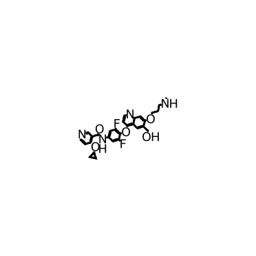 CNCCCOc1cc2nccc(Oc3c(F)cc(NC(=O)c4cnccc4OC4CC4)cc3F)c2cc1CO